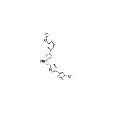 [Na+].[O-]c1cc(-c2ccc(OC3CC(c4ccnc(OC5CC5)c4)C3)nc2)on1